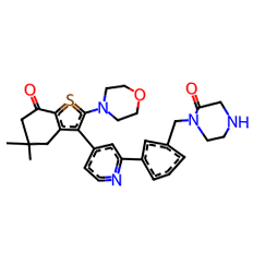 CC1(C)CC(=O)c2sc(N3CCOCC3)c(-c3ccnc(-c4cccc(CN5CCNCC5=O)c4)c3)c2C1